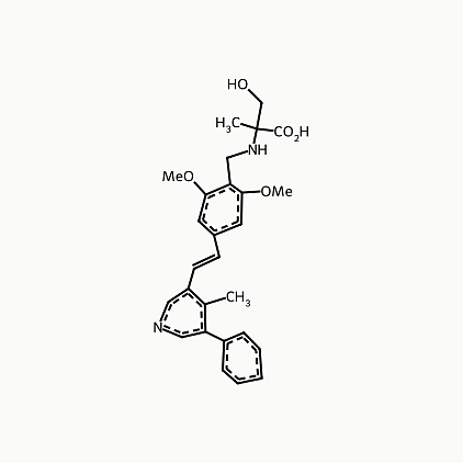 COc1cc(C=Cc2cncc(-c3ccccc3)c2C)cc(OC)c1CNC(C)(CO)C(=O)O